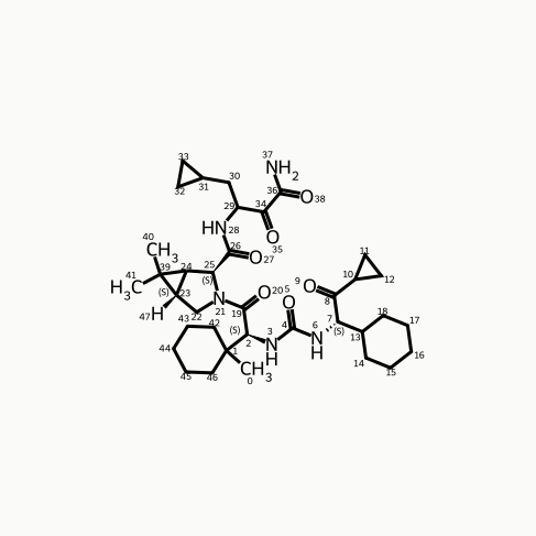 CC1([C@H](NC(=O)N[C@H](C(=O)C2CC2)C2CCCCC2)C(=O)N2C[C@H]3C([C@H]2C(=O)NC(CC2CC2)C(=O)C(N)=O)C3(C)C)CCCCC1